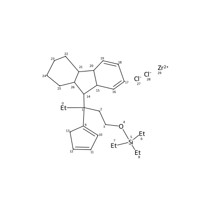 CCC(CCO[Si](CC)(CC)CC)(C1=CC=CC1)C1C2C=CC=CC2C2CCCCC21.[Cl-].[Cl-].[Zr+2]